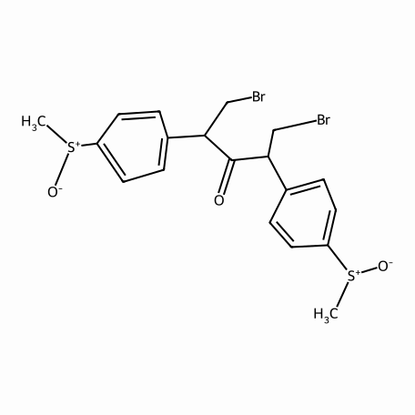 C[S+]([O-])c1ccc(C(CBr)C(=O)C(CBr)c2ccc([S+](C)[O-])cc2)cc1